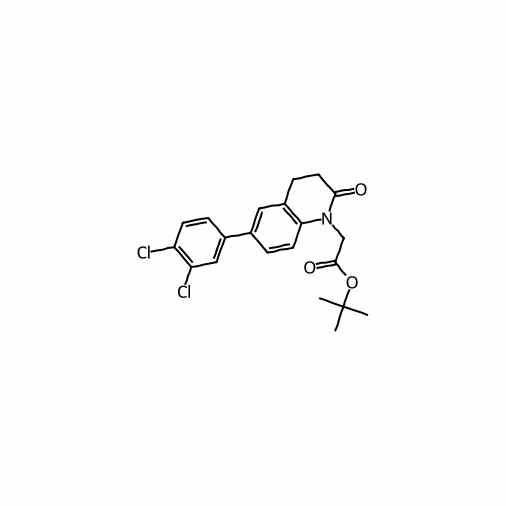 CC(C)(C)OC(=O)CN1C(=O)CCc2cc(-c3ccc(Cl)c(Cl)c3)ccc21